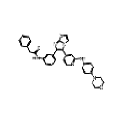 O=C(Cc1ccccc1)Nc1cccc(-c2nc3sccn3c2-c2ccnc(Nc3ccc(N4CCOCC4)cc3)c2)c1